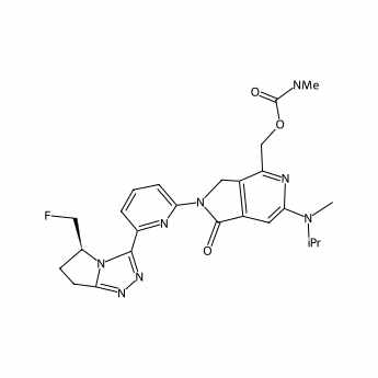 CNC(=O)OCc1nc(N(C)C(C)C)cc2c1CN(c1cccc(-c3nnc4n3[C@H](CF)CC4)n1)C2=O